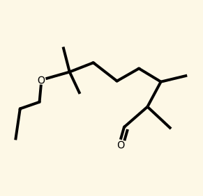 CCCOC(C)(C)CCCC(C)C(C)C=O